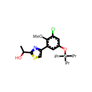 COc1c(Cl)cc(O[Si](C(C)C)(C(C)C)C(C)C)cc1-c1csc(C(C)O)n1